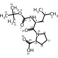 CC(C)C[C@H](NC(=O)OC(C)(C)C)C(=O)N1CCC[C@H]1C(=O)O